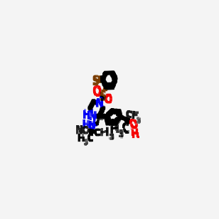 CC(C)(C#N)NC[C@@]1(c2ccc(C(C)(O)C(F)(F)F)cc2)CN(S(=O)(=O)C2=CC=CCC2=S)CCN1